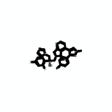 Cn1cc(-c2ccnc3c2C(=O)N(C[C@](O)(Cn2ccnc2)c2ccc(F)cc2F)C3)c(-c2ccc(F)cc2)n1